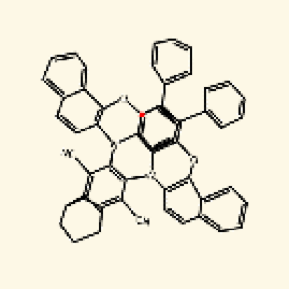 N#Cc1c2c(c(C#N)c(N3c4ccc(-c5ccccc5)cc4Oc4c3ccc3ccccc43)c1N1c3ccc(-c4ccccc4)cc3Oc3c1ccc1ccccc31)C1CCC2CC1